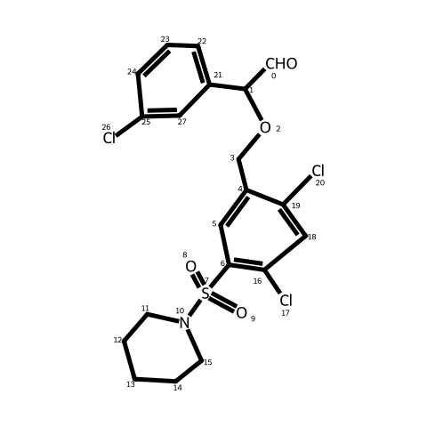 O=CC(OCc1cc(S(=O)(=O)N2CCCCC2)c(Cl)cc1Cl)c1cccc(Cl)c1